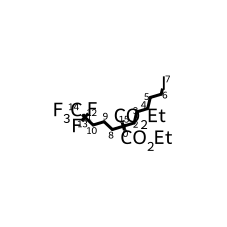 CCOC(=O)C(CCCCCI)(CCCC(F)(F)C(F)(F)F)C(=O)OCC